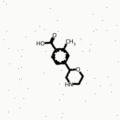 Cc1cc(C2CNCCO2)ccc1C(=O)O